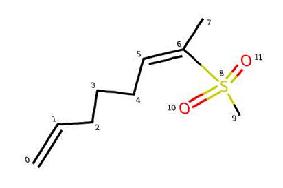 C=CCCC/C=C(/C)S(C)(=O)=O